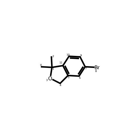 CC1(C)OCc2cc(Br)ccc21